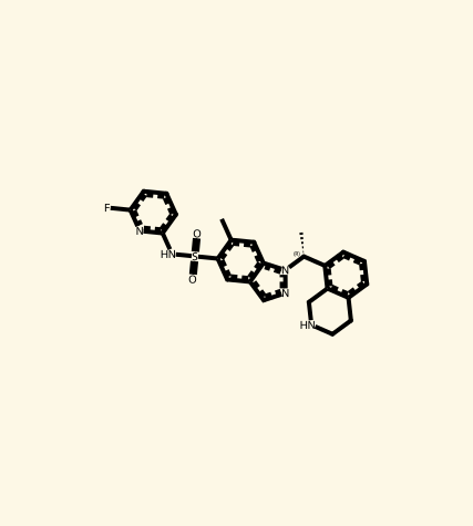 Cc1cc2c(cnn2[C@H](C)c2cccc3c2CNCC3)cc1S(=O)(=O)Nc1cccc(F)n1